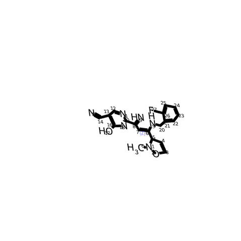 CN1OC=CC1/C(=C/C(=N)c1ncc(C#N)c(O)n1)NCc1ccccc1F